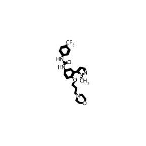 Cn1nccc1-c1cc(NC(=O)Nc2ccc(C(F)(F)F)cc2)ccc1OCCCN1CCOCC1